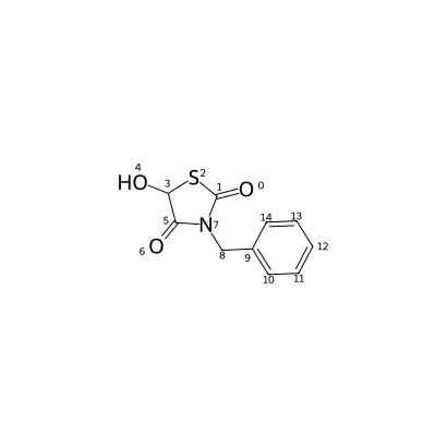 O=C1SC(O)C(=O)N1Cc1ccccc1